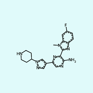 Cn1c(-c2nc(-c3cnn(C4CCNCC4)c3)cnc2N)nc2ccc(F)cc21